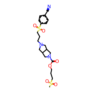 CS(=O)(=O)CCCOC(=O)N1CC2CN(CCCS(=O)(=O)c3ccc(C#N)cc3)CC2C1